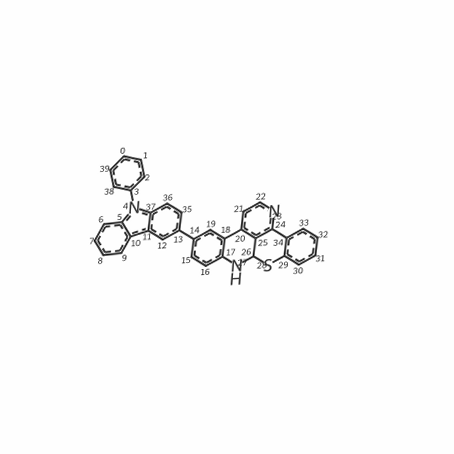 c1ccc(-n2c3ccccc3c3cc(-c4ccc5c(c4)-c4ccnc6c4C(N5)Sc4ccccc4-6)ccc32)cc1